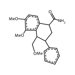 COCC1c2c(ccc(OC)c2OC)C(C(N)=O)CC1c1ccccc1